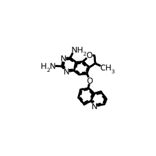 CC1COc2c1c(Oc1cccc3ncccc13)cc1nc(N)nc(N)c21